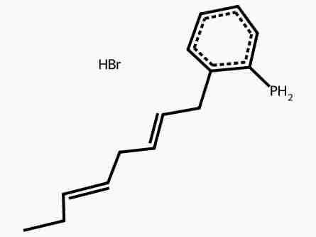 Br.CCC=CCC=CCc1ccccc1P